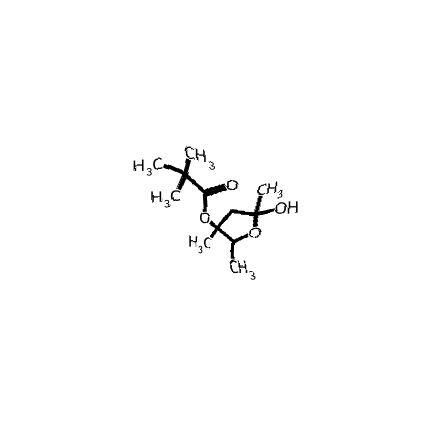 CC1OC(C)(O)CC1(C)OC(=O)C(C)(C)C